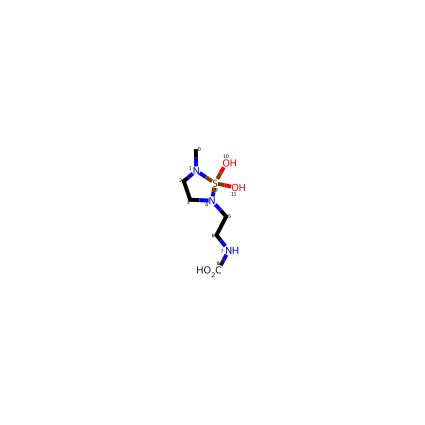 CN1CCN(CCNC(=O)O)S1(O)O